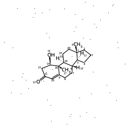 C[C@@]12CCC[C@H]1[C@@H]1CCC3=CC(=O)C[C@@H](O)[C@]3(C)[C@H]1CC2